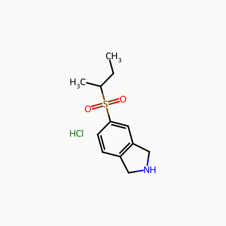 CCC(C)S(=O)(=O)c1ccc2c(c1)CNC2.Cl